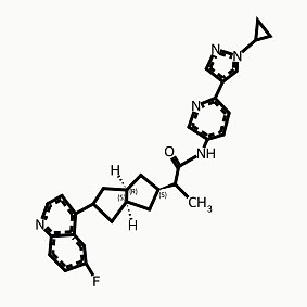 CC(C(=O)Nc1ccc(-c2cnn(C3CC3)c2)nc1)[C@H]1C[C@H]2CC(c3ccnc4ccc(F)cc34)C[C@H]2C1